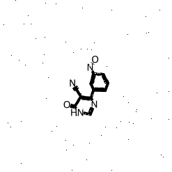 N#Cc1c(-c2cccc(N=O)c2)nc[nH]c1=O